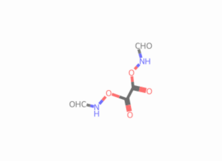 O=CNOC(=O)C(=O)ONC=O